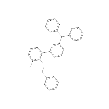 CC(C)(C)c1cccc(-c2cccc(C(c3ccccc3)c3ccccc3)n2)c1OCc1ccccc1